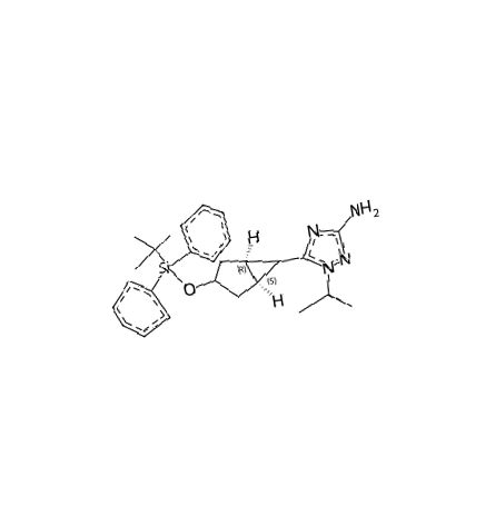 CC(C)n1nc(N)nc1C1[C@H]2CC(O[Si](c3ccccc3)(c3ccccc3)C(C)(C)C)C[C@@H]12